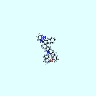 c1ccc2cc(-c3nc4ccccc4nc3-c3ccc4cc(-n5c6ccc7cccc8oc9cccc%10ccc5c(c%109)c6c78)ccc4c3)ccc2c1